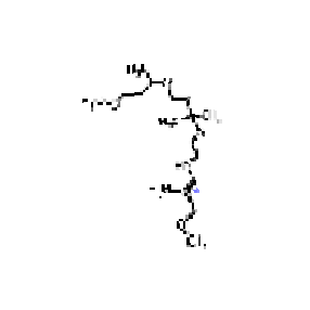 COCCC(C)OCCC(C)(C)OCCN/C=C(\N)COC